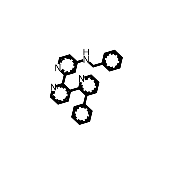 c1ccc(CNc2ccnc(-c3ncccc3-c3ncccc3-c3ccccc3)c2)cc1